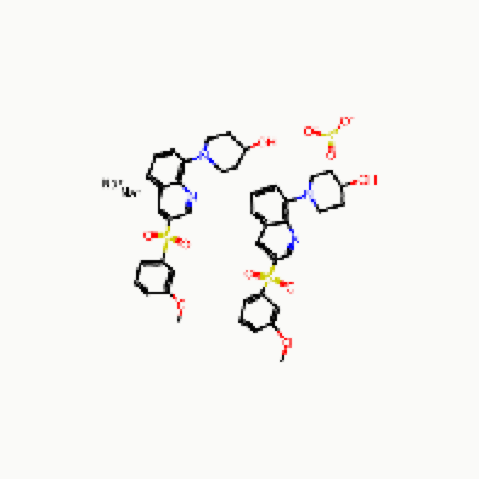 COc1cccc(S(=O)(=O)c2cnc3c(N4CCC(O)CC4)cccc3c2)c1.COc1cccc(S(=O)(=O)c2cnc3c(N4CCC(O)CC4)cccc3c2)c1.O=S([O-])[O-].[Na+].[Na+]